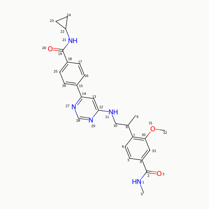 CNC(=O)c1ccc(C(C)CNc2cc(-c3ccc(C(=O)NC4CC4)cc3)ncn2)c(OC)c1